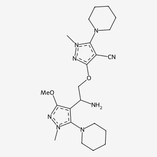 COc1nn(C)c(N2CCCCC2)c1C(N)COc1nn(C)c(N2CCCCC2)c1C#N